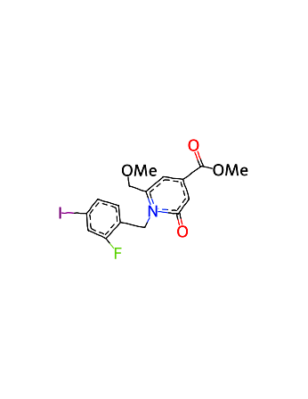 COCc1cc(C(=O)OC)cc(=O)n1Cc1ccc(I)cc1F